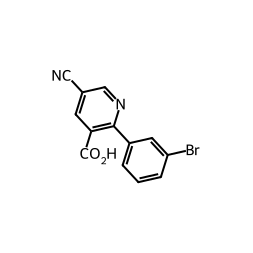 N#Cc1cnc(-c2cccc(Br)c2)c(C(=O)O)c1